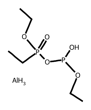 CCOP(O)OP(=O)(CC)OCC.[AlH3]